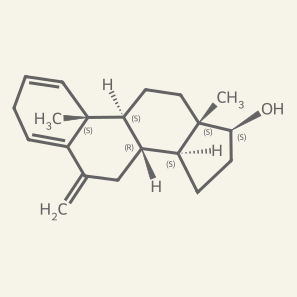 C=C1C[C@H]2[C@@H]3CC[C@H](O)[C@@]3(C)CC[C@@H]2[C@@]2(C)C=CCC=C12